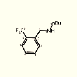 CCCCNCc1ccccc1C(F)(F)F